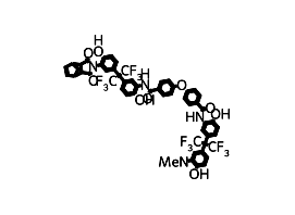 CNc1cc(C(c2ccc(O)c(NC(=O)c3ccc(Oc4ccc(C(=O)Nc5cc(C(c6ccc(O)c(N7C(=O)C8C9C=CC(C9)C8C7=O)c6)(C(F)(F)F)C(F)(F)F)ccc5O)cc4)cc3)c2)(C(F)(F)F)C(F)(F)F)ccc1O